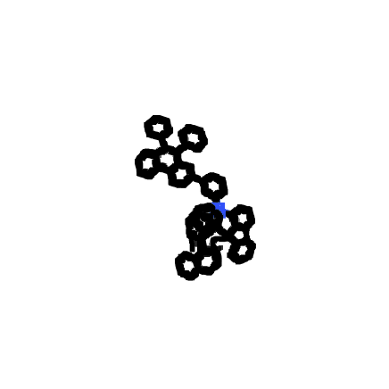 CC1(c2ccccc2)c2ccccc2-c2cccc(N(c3cccc(-c4ccc5c(c4)c(-c4ccccc4)c(-c4ccccc4)c4ccccc45)c3)c3cccc(-c4cccc5ccccc45)c3)c21